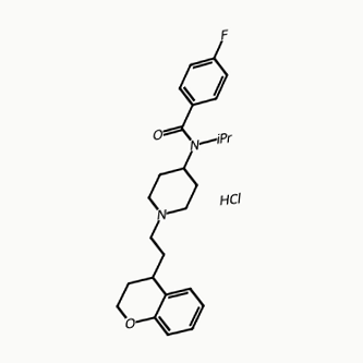 CC(C)N(C(=O)c1ccc(F)cc1)C1CCN(CCC2CCOc3ccccc32)CC1.Cl